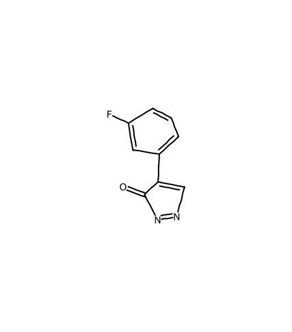 O=C1N=NC=C1c1cccc(F)c1